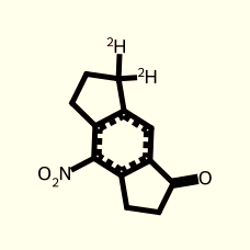 [2H]C1([2H])CCc2c1cc1c(c2[N+](=O)[O-])CCC1=O